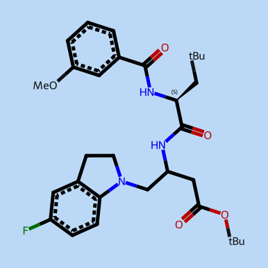 COc1cccc(C(=O)N[C@@H](CC(C)(C)C)C(=O)NC(CC(=O)OC(C)(C)C)CN2CCc3cc(F)ccc32)c1